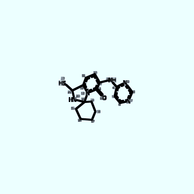 O=c1c(Nc2ccncn2)ccc2n1C1(CCCCC1)NC2S